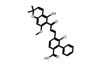 COc1cc2c(c(O)c1C(=O)C=Cc1ccc(C(=O)O)c(-c3ccccc3)c1Cl)C=CC(C)(C)O2